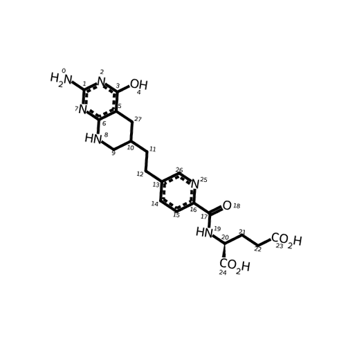 Nc1nc(O)c2c(n1)NCC(CCc1ccc(C(=O)N[C@@H](CCC(=O)O)C(=O)O)nc1)C2